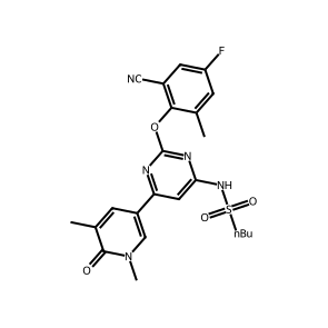 CCCCS(=O)(=O)Nc1cc(-c2cc(C)c(=O)n(C)c2)nc(Oc2c(C)cc(F)cc2C#N)n1